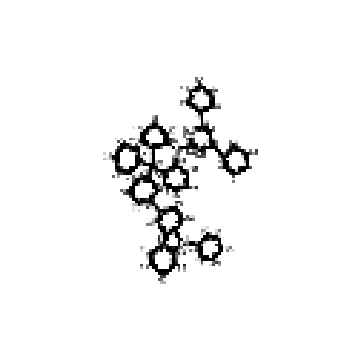 c1ccc(-c2cc(-c3ccccc3)nc(N3c4ccccc4C(c4ccccc4)(c4cccc(-c5ccc6c(c5)c5ccccc5n6-c5ccccc5)c4)c4ccccc43)c2)cc1